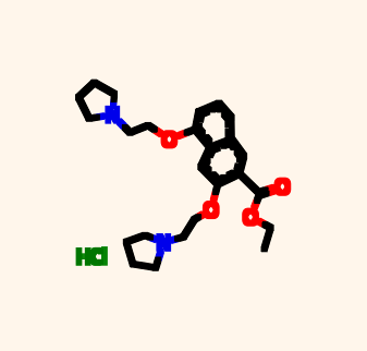 CCOC(=O)c1cc2cccc(OCCN3CCCC3)c2cc1OCCN1CCCC1.Cl